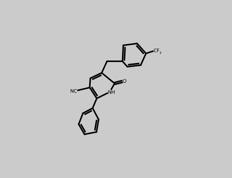 N#Cc1cc(Cc2ccc(C(F)(F)F)cc2)c(=O)[nH]c1-c1ccccc1